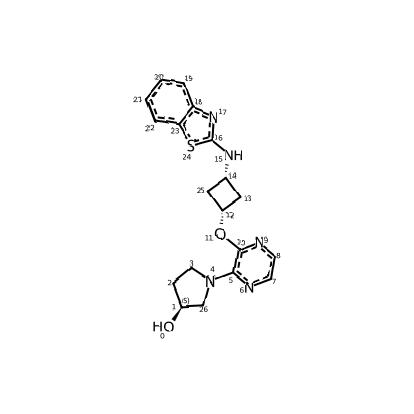 O[C@H]1CCN(c2nccnc2O[C@H]2C[C@@H](Nc3nc4ccccc4s3)C2)C1